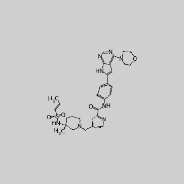 CC=CS(=O)(=O)N[C@]1(C)CCCN(Cc2ccnc(C(=O)Nc3ccc(-c4cc5c(N6CCOCC6)ncnc5[nH]4)cc3)c2)C1